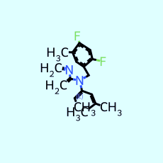 C=NC(=C)N(Cc1cc(C)c(F)cc1F)/C(C=C(C)C)=C/C